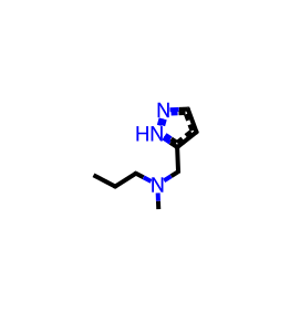 CCCN(C)Cc1ccn[nH]1